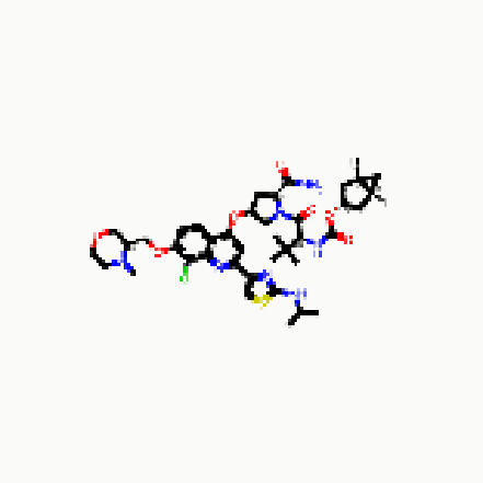 CC(C)Nc1nc(-c2cc(OC3C[C@@H](C(N)=O)N(C(=O)[C@@H](NC(=O)O[C@@H]4C[C@@H]5C[C@@H]5C4)C(C)(C)C)C3)c3ccc(OC[C@@H]4COCCN4C)c(Cl)c3n2)cs1